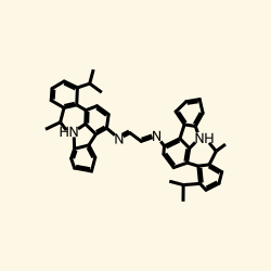 CC(C)c1cccc(C(C)C)c1-c1ccc(N=CC=Nc2ccc(-c3c(C(C)C)cccc3C(C)C)c3[nH]c4ccccc4c23)c2c1[nH]c1ccccc12